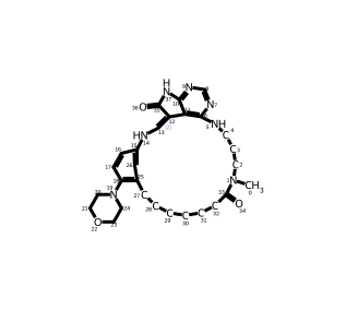 CN1CCCNc2ncnc3c2/C(=C/Nc2ccc(N4CCOCC4)c(c2)CCCCCCC1=O)C(=O)N3